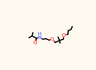 CCCCOCC(C)(C)COCCCNC(=O)C(C)C